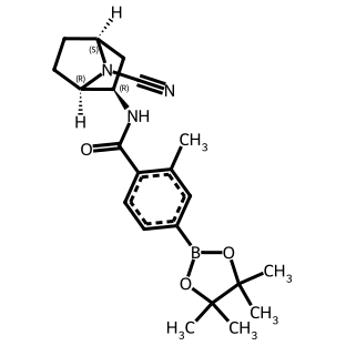 Cc1cc(B2OC(C)(C)C(C)(C)O2)ccc1C(=O)N[C@@H]1C[C@@H]2CC[C@H]1N2C#N